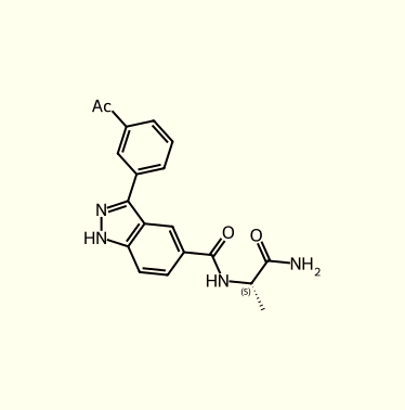 CC(=O)c1cccc(-c2n[nH]c3ccc(C(=O)N[C@@H](C)C(N)=O)cc23)c1